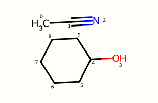 CC#N.OC1CCCCC1